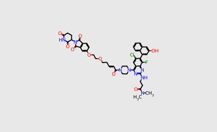 CN(C)C(=O)CCNc1nc(N2CCN(C(=O)/C=C/CCOCCOc3ccc4c(c3)C(=O)N(C3CCC(=O)NC3=O)C4=O)CC2)c2cc(Cl)c(-c3cc(O)cc4ccccc34)c(F)c2n1